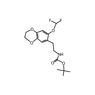 CC(C)(C)OC(=O)NCCc1cc2c(cc1OC(F)F)OCCO2